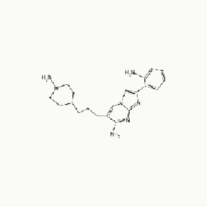 BN1CCC(CCCc2cn3cc(-c4ccccc4N)nc3nc2N)CC1